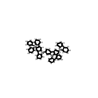 c1ccc(-c2ccccc2-n2c3ccc(-n4c5ccccc5c5ccccc54)cc3c3ccc(-n4c5ccccc5c5cc([Si](c6ccccc6)(c6ccccc6)c6ccccc6)ccc54)cc32)cc1